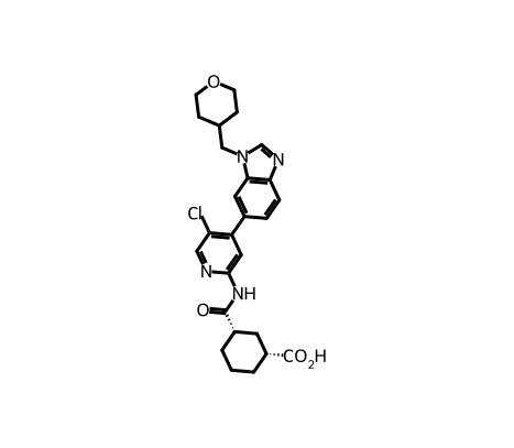 O=C(O)[C@@H]1CCC[C@H](C(=O)Nc2cc(-c3ccc4ncn(CC5CCOCC5)c4c3)c(Cl)cn2)C1